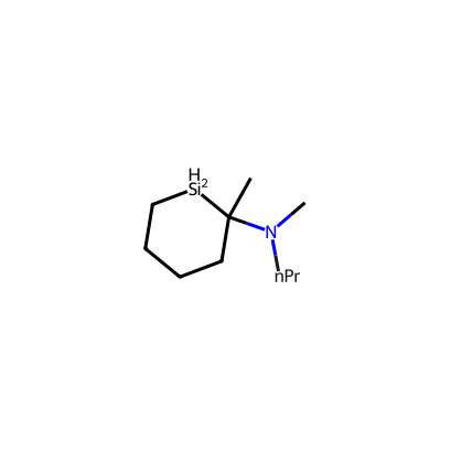 CCCN(C)C1(C)CCCC[SiH2]1